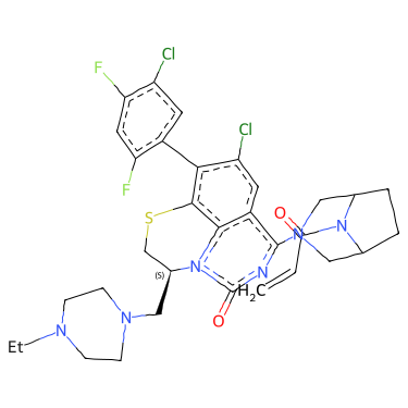 C=CC(=O)N1C2CCC1CN(c1nc(=O)n3c4c(c(-c5cc(Cl)c(F)cc5F)c(Cl)cc14)SC[C@@H]3CN1CCN(CC)CC1)C2